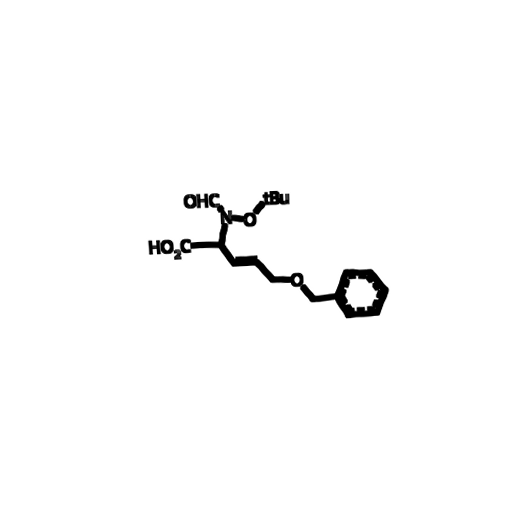 CC(C)(C)ON(C=O)C(C=CCOCc1ccccc1)C(=O)O